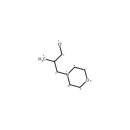 CC(CCl)CN1CCOCC1